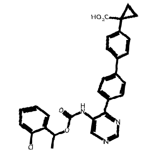 CC(OC(=O)Nc1cncnc1-c1ccc(-c2ccc(C3(C(=O)O)CC3)cc2)cc1)c1ccccc1Cl